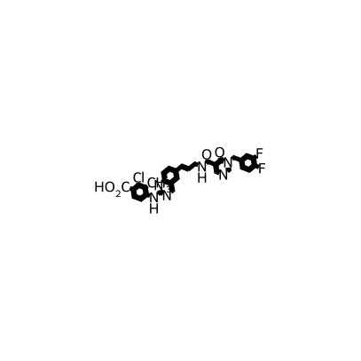 Cc1c(Nc2ncc3cc(C=CCNC(=O)c4cncn(Cc5ccc(F)c(F)c5)c4=O)ccc3n2)ccc(C(=O)O)c1Cl